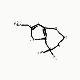 CC(C)(C)c1cc2c(s1)C(F)(F)CCC2